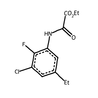 CCOC(=O)C(=O)Nc1cc(CC)cc(Cl)c1F